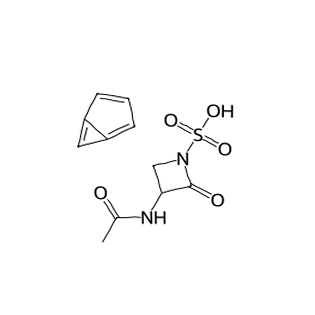 CC(=O)NC1CN(S(=O)(=O)O)C1=O.c1cc2cc-2c1